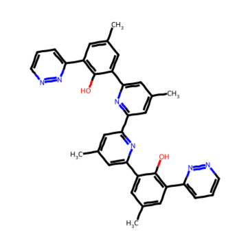 Cc1cc(-c2cc(C)cc(-c3cc(C)cc(-c4cccnn4)c3O)n2)nc(-c2cc(C)cc(-c3cccnn3)c2O)c1